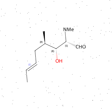 C/C=C/C[C@@H](C)[C@@H](O)[C@@H](C=O)NC